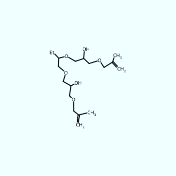 C=C(C)COCC(O)COCC(CC)OCC(O)COCC(=C)C